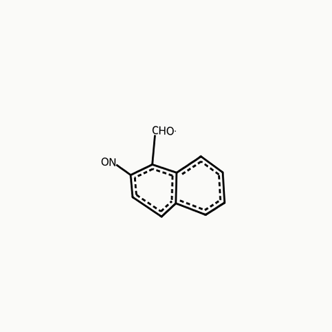 O=[C]c1c(N=O)ccc2ccccc12